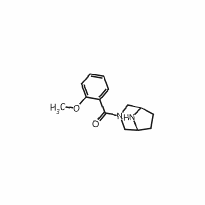 COc1ccccc1C(=O)N1CC2CCC(C1)N2